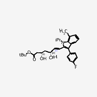 Cc1cccc2c(-c3ccc(F)cc3)c(/C=C/[C@H](O)C[C@H](O)CC(=O)OC(C)(C)C)n(C(C)C)c12